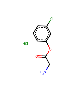 Cl.NCC(=O)Oc1cccc(Cl)c1